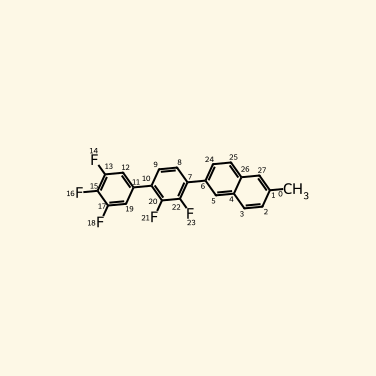 Cc1ccc2cc(-c3ccc(-c4cc(F)c(F)c(F)c4)c(F)c3F)ccc2c1